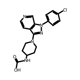 O=C(O)NC1CCN(c2nn(-c3ccc(Cl)cc3)c3cnccc23)CC1